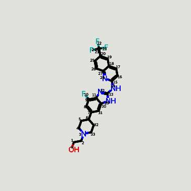 OCCN1CCC(c2cc(F)c3nc(Nc4ccc5cc(C(F)(F)F)ccc5n4)[nH]c3c2)CC1